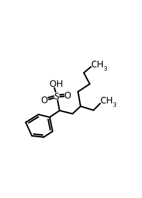 CCCCC(CC)CC(c1ccccc1)S(=O)(=O)O